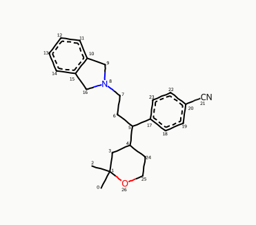 CC1(C)CC(C(CCN2Cc3ccccc3C2)c2ccc(C#N)cc2)CCO1